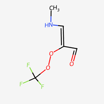 CN/C=C(/C=O)OOC(F)(F)F